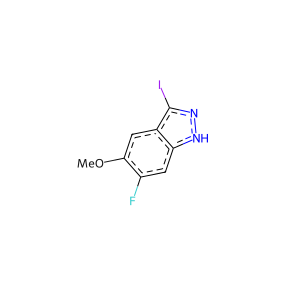 COc1cc2c(I)n[nH]c2cc1F